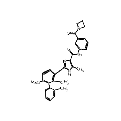 COc1ccc(-c2nc(C(=O)Nc3cccc(C(=O)N4CCC4)c3)c(C)[nH]2)c(C)c1-c1ccccc1C